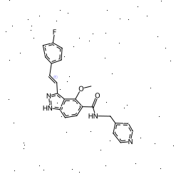 COc1c(C(=O)NCc2ccncc2)ccc2[nH]nc(/C=C/c3ccc(F)cc3)c12